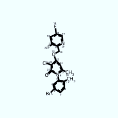 Cc1ccc(Br)cc1-n1c(C)cc(OCc2ncc(F)cc2F)c(Cl)c1=O